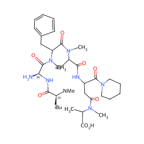 CCC(C)[C@H](NC)C(=O)N[C@@H](N)C(=O)N(C)C(Cc1ccccc1)C(=O)N(C)C(C(=O)NC(CC(=O)N(C)C(C)C(=O)O)C(=O)N1CCCCC1)C(C)C